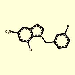 O=[N+]([O-])c1cc(Br)c2c(ccn2Cc2cccc(F)c2)c1